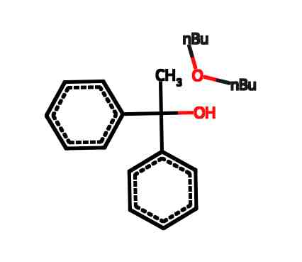 CC(O)(c1ccccc1)c1ccccc1.CCCCOCCCC